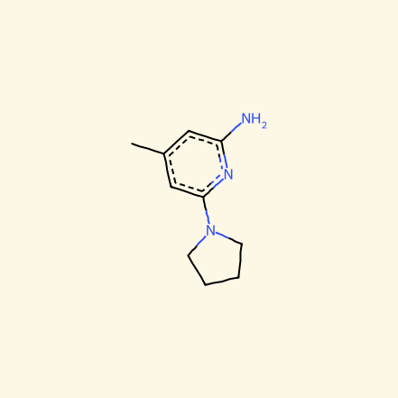 Cc1cc(N)nc(N2CCCC2)c1